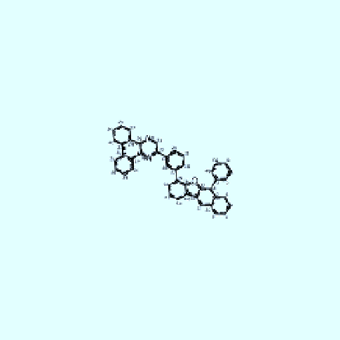 c1ccc(-c2c3ccccc3cc3c2oc2c(-c4cccc(-c5cnc6c7ccccc7c7ccccc7c6n5)c4)cccc23)cc1